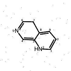 C1=CNC2=C[N+]=CCC2=C1